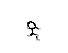 N=C(NO)c1ncccc1Br